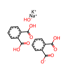 O=C(O)c1ccccc1C(=O)O.O=C([O-])c1ccccc1C(=O)O.[K+].[Na+].[OH-]